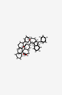 C1=CCCC(C2CCC3=C(C2)C2(C4=C(CCCC4)S3)c3ccccc3SC3CC(C4CCCc5c4c4ccccc4n5-c4ccccc4)C=CC32)=C1